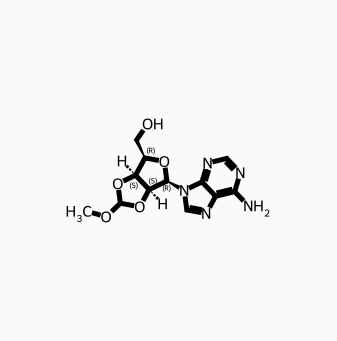 COC1O[C@@H]2[C@H](O1)[C@H](n1cnc3c(N)ncnc31)O[C@@H]2CO